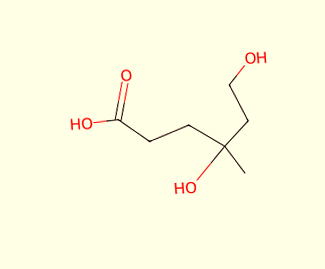 CC(O)(CCO)CCC(=O)O